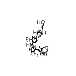 CCc1nc(N2C[C@H]3C[C@@H]2CN3CCCO)ccc1Nc1ncc(C(F)(F)F)c(-c2cc3c(s2)COCCS3(=O)=O)n1